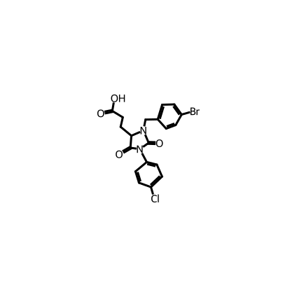 O=C(O)CCC1C(=O)N(c2ccc(Cl)cc2)C(=O)N1Cc1ccc(Br)cc1